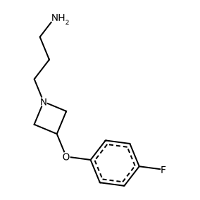 NCCCN1CC(Oc2ccc(F)cc2)C1